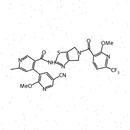 COc1nc(C(F)(F)F)ccc1C(=O)N1Cc2nc(NC(=O)c3cnc(C)cc3-c3cc(C#N)cnc3OC)sc2C1